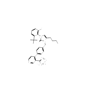 CCCCc1cn(-c2c(F)cccc2C(C)(C)C)c(=O)n1Cc1ccc(-c2ccncc2-c2nnn[nH]2)cc1